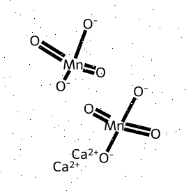 [Ca+2].[Ca+2].[O]=[Mn](=[O])([O-])[O-].[O]=[Mn](=[O])([O-])[O-]